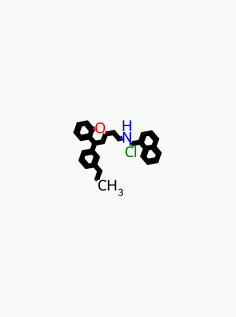 CCCc1cccc(C2CC(CCNC(Cl)c3cccc4ccccc34)Oc3ccccc32)c1